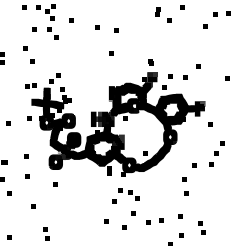 CC(C)(C)OC(=O)CS(=O)(=O)Cc1cc2nc(c1)OCCCOc1cc(F)ccc1-c1cc(ncc1F)N2